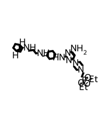 CCOP(=O)(CCN1CCN(c2cc(N)nc(NC[C@H]3CC[C@H](CNCCCN[C@H]4C[C@@H]5CC[C@H]4C5)CC3)n2)CC1)OCC